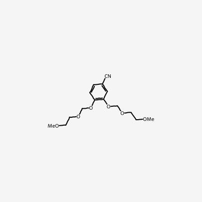 COCCOCOc1ccc(C#N)cc1OCOCCOC